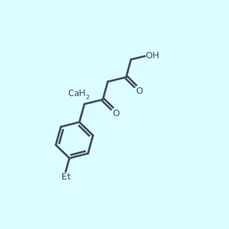 CCc1ccc(CC(=O)CC(=O)CO)cc1.[CaH2]